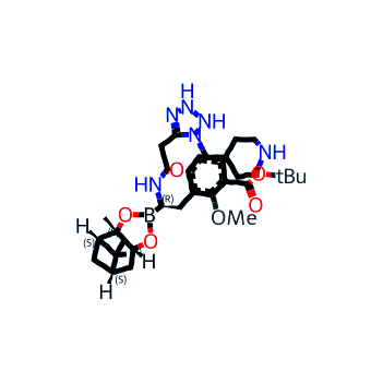 COc1c(C[C@H](NC(=O)CC2=NNNN2CC2CCNCC2)B2O[C@@H]3C[C@@H]4C[C@@H](C4(C)C)[C@]3(C)O2)cccc1C(=O)OC(C)(C)C